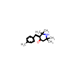 Cc1ccc(/C=C2\C(=O)CC(C)(C)NC2(C)C)cc1